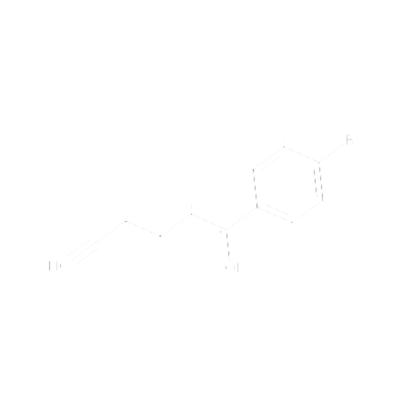 C#CCCCC(O)c1ccc(Br)cc1